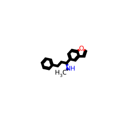 CNC(CCc1ccccc1)c1ccc2occc2c1